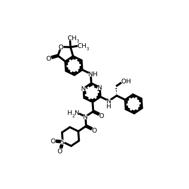 CC1(C)OC(=O)c2ccc(Nc3ncc(C(=O)N(N)C(=O)C4CCS(=O)(=O)CC4)c(N[C@H](CO)c4ccccc4)n3)cc21